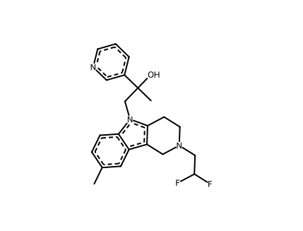 Cc1ccc2c(c1)c1c(n2CC(C)(O)c2cccnc2)CCN(CC(F)F)C1